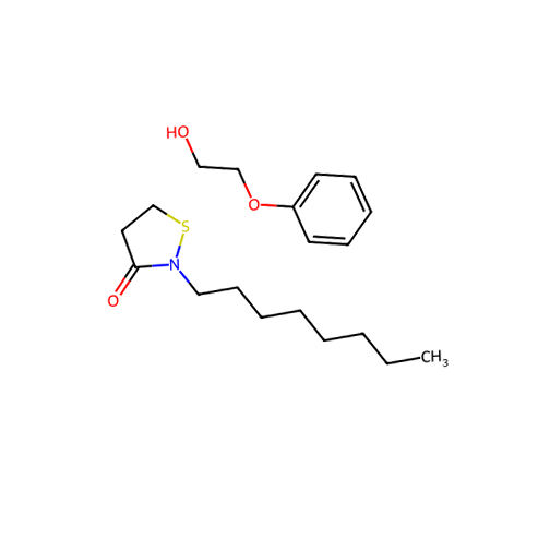 CCCCCCCCN1SCCC1=O.OCCOc1ccccc1